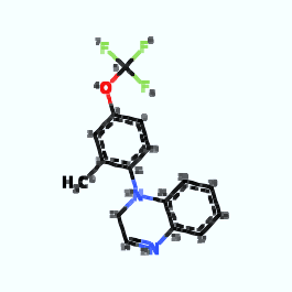 Cc1cc(OC(F)(F)F)ccc1N1CC=Nc2ccccc21